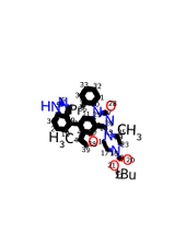 Cc1ccc2[nH]ncc2c1-c1cc2c(c(N3CCN(C(=O)OC(C)(C)C)C[C@@H]3C)nc(=O)n2-c2ccccc2C(C)C)c2occc12